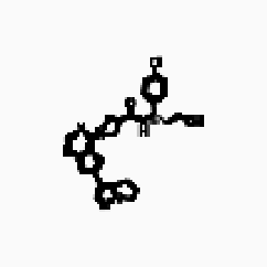 O=C(N[C@@H](CCO)c1ccc(Cl)cc1)C1CN(c2ncnn3cc(-c4cnn5c4CCC5)cc23)C1